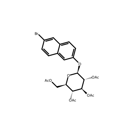 CC(=O)OC[C@H]1O[C@@H](Oc2ccc3cc(Br)ccc3c2)[C@H](OC(C)=O)[C@@H](OC(C)=O)[C@@H]1OC(C)=O